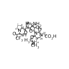 CC(C)[C@@H](C(=O)C(F)(F)F)N1CCC[C@H]1C(=O)NC(=O)[C@](N)(C(=O)Cn1c(=O)c(CN(C)C)cn(CC(=O)O)c1=O)C(C)C